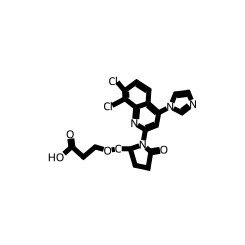 O=C(O)CCOCC1CCC(=O)N1c1cc(-n2ccnc2)c2ccc(Cl)c(Cl)c2n1